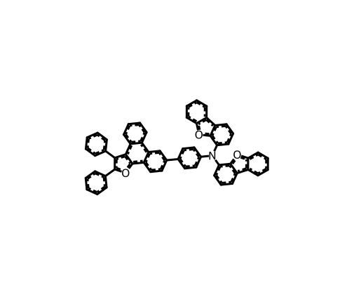 c1ccc(-c2oc3c4ccc(-c5ccc(N(c6cccc7c6oc6ccccc67)c6cccc7c6oc6ccccc67)cc5)cc4c4ccccc4c3c2-c2ccccc2)cc1